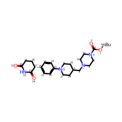 CCCCOC(=O)N1CCN(CC2CCN(c3ccc([C@H]4CCC(=O)NC4=O)cc3)CC2)CC1